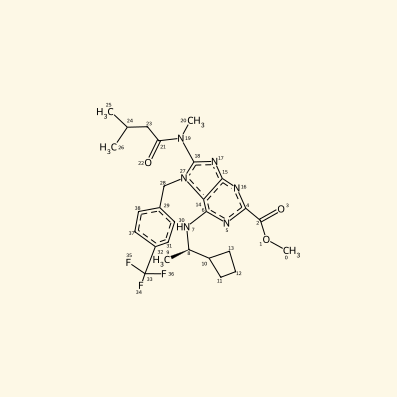 COC(=O)c1nc(N[C@H](C)C2CCC2)c2c(n1)nc(N(C)C(=O)CC(C)C)n2Cc1ccc(C(F)(F)F)cc1